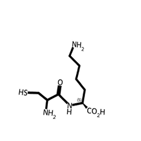 NCCCC[C@H](NC(=O)C(N)CS)C(=O)O